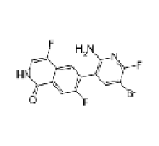 Nc1nc(F)c(Br)cc1-c1cc2c(F)c[nH]c(=O)c2cc1F